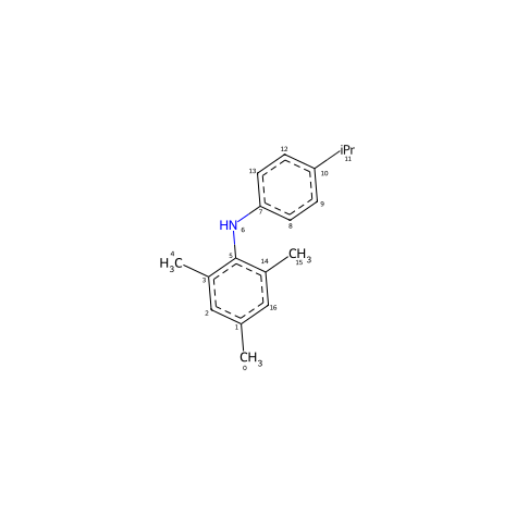 Cc1cc(C)c(Nc2ccc(C(C)C)cc2)c(C)c1